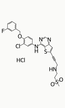 CS(=O)(=O)CCNCC#Cc1cc2ncnc(Nc3ccc(OCc4cccc(F)c4)c(Cl)c3)c2s1.Cl